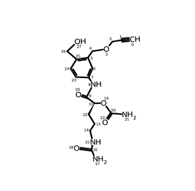 C#CCOCc1cc(NC(=O)[C@H](CCCNC(N)=O)OC(N)=O)ccc1CO